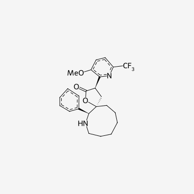 COc1ccc(C(F)(F)F)nc1[C@H]1C[C@@]2(CCCCCCN[C@H]2c2ccccc2)OC1=O